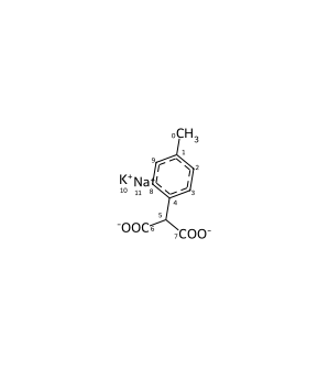 Cc1ccc(C(C(=O)[O-])C(=O)[O-])cc1.[K+].[Na+]